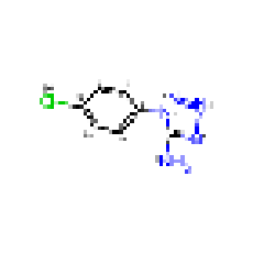 Nc1nnnn1-c1ccc(Cl)cc1